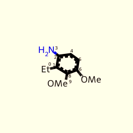 CCc1c(N)ccc(OC)c1OC